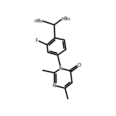 CCCCC(CCCC)c1ccc(-n2c(C)nc(C)cc2=O)cc1F